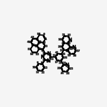 C1=Cc2cc(-c3nc(-c4ccccc4)nc(-c4cc(-c5ccccn5)cc(-c5cc6cccnc6c6ncccc56)c4)n3)c3c4c(ccc(c24)C1)CC=C3